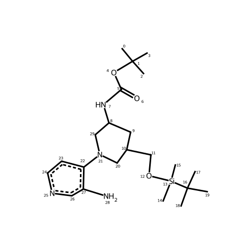 CC(C)(C)OC(=O)NC1CC(CO[Si](C)(C)C(C)(C)C)CN(c2ccncc2N)C1